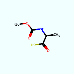 C[C@H](NC(=O)OC(C)(C)C)C(=O)S